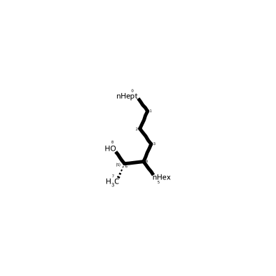 CCCCCCCCC[CH]C(CCCCCC)[C@H](C)O